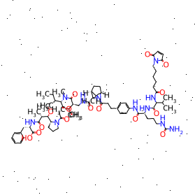 CC[C@H](C)[C@@H]([C@@H](CC(=O)N1CCC[C@H]1[C@H](OC)[C@@H](C)C(=O)N[C@@H](Cc1ccccc1)C(=O)O)OC)N(C)C(=O)[C@@H](CNC(=O)[C@@H]1[C@H]2CC[C@@H]([C@H]2C)N1C(=O)CCc1ccc(NC(=O)[C@H](CCCNC(N)=O)NC(=O)[C@@H](NC(=O)CCCCCN2C(=O)C=CC2=O)C(C)C)cc1)C(C)C